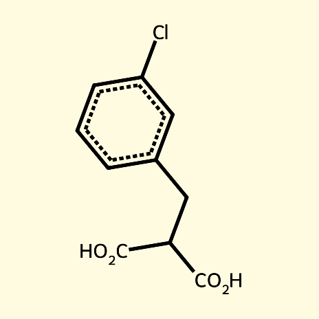 O=C(O)C(Cc1cccc(Cl)c1)C(=O)O